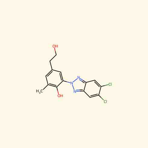 Cc1cc(CCO)cc(-n2nc3cc(Cl)c(Cl)cc3n2)c1O